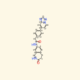 O=C1CCc2ccc(NC(=O)Cc3ccc(-c4ccn5ncnc5c4)cc3)cc2CN1